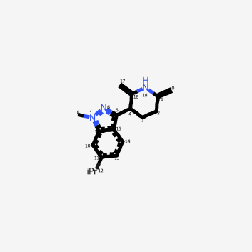 C=C1CCC(c2nn(C)c3cc(C(C)C)ccc23)C(=C)N1